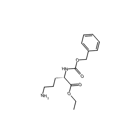 CCOC(=O)[C@H](CCCN)NC(=O)OCc1ccccc1